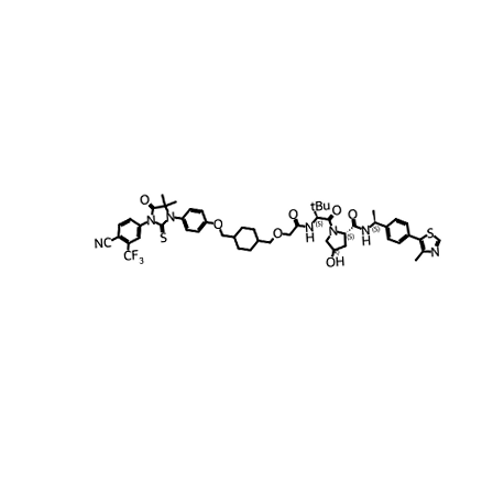 Cc1ncsc1-c1ccc([C@H](C)NC(=O)[C@@H]2C[C@@H](O)CN2C(=O)[C@@H](NC(=O)COCC2CCC(COc3ccc(N4C(=S)N(c5ccc(C#N)c(C(F)(F)F)c5)C(=O)C4(C)C)cc3)CC2)C(C)(C)C)cc1